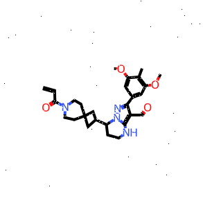 C=CC(=O)N1CCC2(CC1)CC(C1CCNc3c(C=O)c(-c4cc(OC)c(C)c(OC)c4)nn31)C2